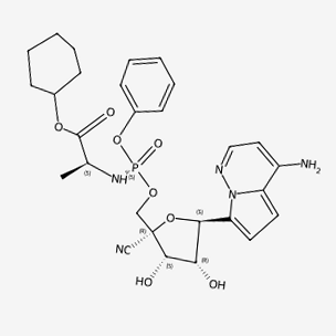 C[C@H](N[P@](=O)(OC[C@@]1(C#N)O[C@@H](c2ccc3c(N)ccnn23)[C@H](O)[C@@H]1O)Oc1ccccc1)C(=O)OC1CCCCC1